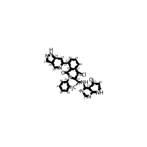 C[C@H](Nc1ncnc2[nH]ccc(=O)c12)c1c(Cl)c2cccc(-c3cc4[nH]ncc4cn3)c2c(=O)n1-c1ccccc1